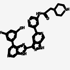 O=C(CC1CCNCC1)Nc1cncc(-c2cc3c(-c4nc5c(-c6cc(O)cc(F)c6)cncc5[nH]4)n[nH]c3cn2)c1